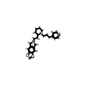 c1cc(CCCN2CCCCC2CCN2Cc3cc4c(cc3C2)OCO4)ccn1